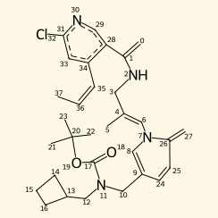 C=C(NC/C(C)=C/N1C=C(CN(CC2CCC2)C(=O)OC(C)(C)C)C=CC1=C)c1cnc(Cl)cc1/C=C\C